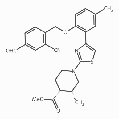 COC(=O)[C@@H]1CCN(c2nc(-c3cc(C)ccc3OCc3ccc(C=O)cc3C#N)cs2)C[C@@H]1C